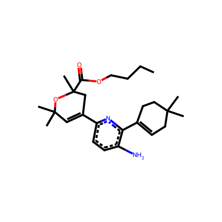 CCCCOC(=O)C1(C)CC(c2ccc(N)c(C3=CCC(C)(C)CC3)n2)=CC(C)(C)O1